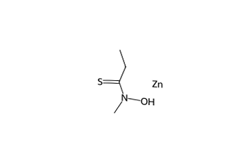 CCC(=S)N(C)O.[Zn]